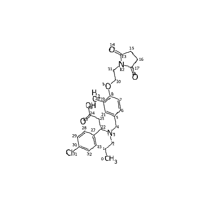 CCCN(Cc1ccc(OCCN2C(=O)CCC2=O)c(C)c1)C(CC(=O)O)c1ccc(Cl)cc1